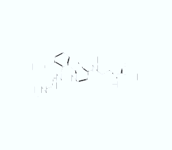 CC(=O)NCCNc1ccnc(-c2cccc(C)c2NCCN)n1